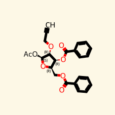 C#CCO[C@H]1[C@H](OC(C)=O)O[C@H](COC(=O)c2ccccc2)[C@H]1OC(=O)c1ccccc1